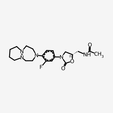 CC(=O)NC[C@H]1CN(c2ccc(N3CCN4CCCCN4CC3)c(F)c2)C(=O)O1